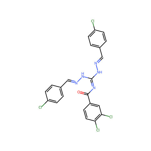 O=C(N=C(NN=Cc1ccc(Cl)cc1)NN=Cc1ccc(Cl)cc1)c1ccc(Cl)c(Cl)c1